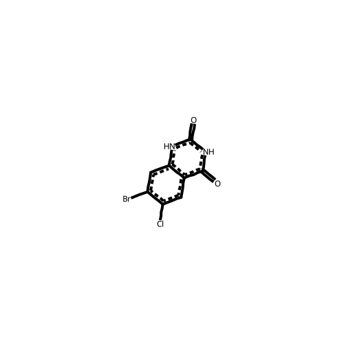 O=c1[nH]c(=O)c2cc(Cl)c(Br)cc2[nH]1